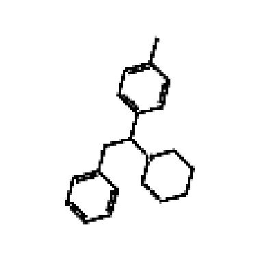 Cc1ccc(C(Cc2ccccc2)N2CCCCC2)cc1